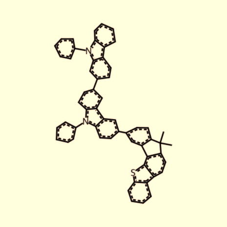 CC1(C)c2ccc(-c3ccc4c(c3)c3cc(-c5ccc6c7ccccc7n(-c7ccccc7)c6c5)ccc3n4-c3ccccc3)cc2-c2c1ccc1c2sc2ccccc21